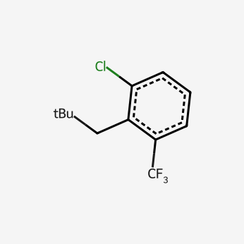 CC(C)(C)Cc1c(Cl)cccc1C(F)(F)F